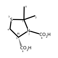 CC1(C)SC[C@@H](C(=O)O)N1C(=O)O